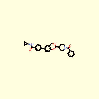 O=C(NC1CC1)c1ccc(-c2ccc3c(c2)COC(C2CCN(C(=O)c4ccccc4)CC2)O3)cc1